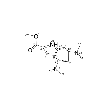 COC(=O)c1cc2c(N(C)C)cc(N(C)C)cc2[nH]1